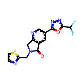 O=C1c2cc(-c3nnc(C(F)F)o3)cnc2CN1Cc1nccs1